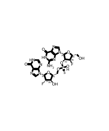 Nc1nc2c(ncn2[C@@H]2O[C@H](CO)[C@@H](F)[C@H]2OP(O)(=S)OC[C@H]2O[C@@H](n3cnc4c(=O)[nH]cnc43)[C@@H](F)[C@@H]2O)c(=O)[nH]1